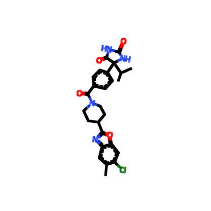 Cc1cc2nc(C3CCN(C(=O)c4ccc(C5(C(C)C)NC(=O)NC5=O)cc4)CC3)oc2cc1Cl